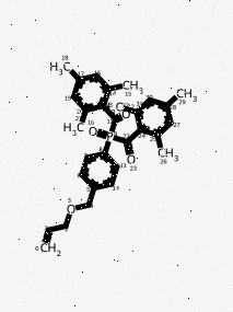 C=CCOCc1ccc(P(=O)(C(=O)c2c(C)cc(C)cc2C)C(=O)c2c(C)cc(C)cc2C)cc1